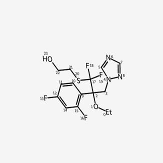 CCOC(Cn1cncn1)(c1ccc(F)cc1F)C(F)(F)SCCO